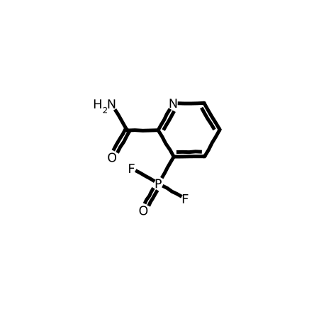 NC(=O)c1ncccc1P(=O)(F)F